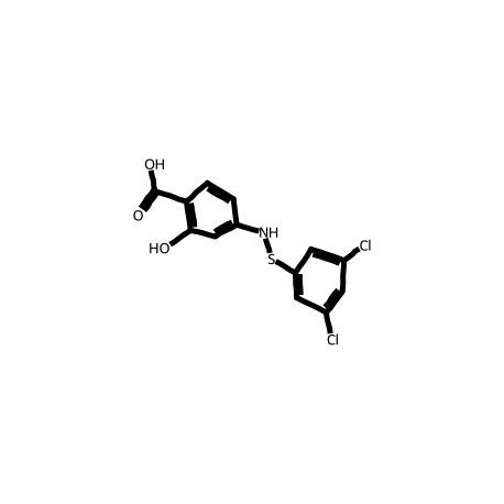 O=C(O)c1ccc(NSc2cc(Cl)cc(Cl)c2)cc1O